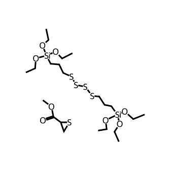 CCO[Si](CCCSSSSCCC[Si](OCC)(OCC)OCC)(OCC)OCC.COC(=O)C1CS1